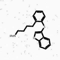 CNCCCCc1ccccc1Sc1coc2ccccc12